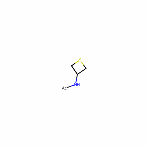 [CH2]C(=O)NC1CSC1